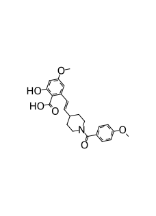 COc1ccc(C(=O)N2CCC(C=Cc3cc(OC)cc(O)c3C(=O)O)CC2)cc1